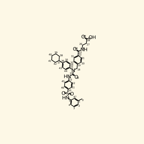 Cc1cccc(NS(=O)(=O)c2ccc(NC(=O)N(Cc3ccc(C(=O)NCCC(=O)O)cc3)c3ccc(C4CCCCC4)cc3)cc2)c1